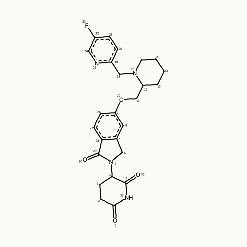 O=C1CCC(N2Cc3cc(OCC4CCCCN4Cc4ccc(F)cn4)ccc3C2=O)C(=O)N1